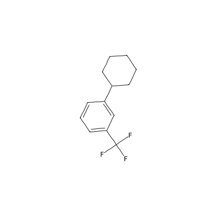 FC(F)(F)c1cccc(C2CCCCC2)c1